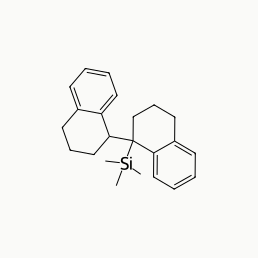 C[Si](C)(C)C1(C2CCCc3ccccc32)CCCc2ccccc21